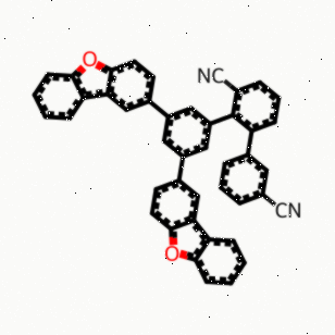 N#Cc1cccc(-c2cccc(C#N)c2-c2cc(-c3ccc4oc5ccccc5c4c3)cc(-c3ccc4oc5ccccc5c4c3)c2)c1